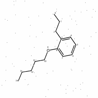 [CH2]CCc1ccccc1OCCCCC